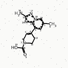 Cc1cc(C2=CCN(C(=O)O)CC2)c2nc(N)nn2c1